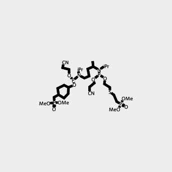 COP(=O)(CCSCCOP(OCCC#N)N(C(C)C)C(C)CCCN(C(C)C)P(OCCC#N)OC1CCC(CP(=O)(OC)OC)CC1)OC